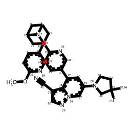 COc1ccc(CN2C3CC2CN(c2ccc(-c4cc(N5CCC(F)(F)C5)cn5ncc(C#N)c45)cn2)C3)cn1